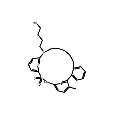 Cc1ccc2nc1-c1ccccc1CCCCCN(CCCCO)c1cccc(n1)S(=O)(=O)N2